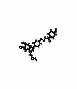 CC=Cn1nc(C2CCN(CCCC(=O)c3ccc(F)cc3)CC2)c2cc(Cl)c(Cl)cc21